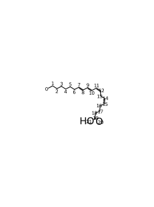 CCCCCCC/C=C/C=C/C=C\C/C=C\CCCC(=O)O